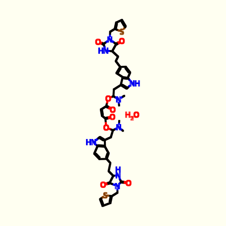 CN(C)C(Cc1c[nH]c2ccc(CCC3NC(=O)N(Cc4cccs4)C3=O)cc12)OC(=O)/C=C\C(=O)OC(Cc1c[nH]c2ccc(CCC3NC(=O)N(Cc4cccs4)C3=O)cc12)N(C)C.O